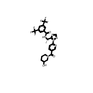 C[C@H](NC(=O)c1cc(C(F)(F)F)cc(C(F)(F)F)c1)c1ncnn1-c1ccc(C(=O)N2CCCC(O)C2)cn1